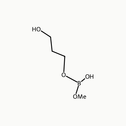 COB(O)OCCCO